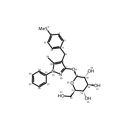 CSc1ccc(Cc2c(O[C@@H]3O[C@H](CO)[C@@H](O)[C@H](O)[C@H]3O)nn(-c3ccccc3)c2C)cc1